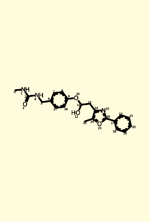 CNC(=O)NCc1ccc(OC(O)Cc2nc(-c3ccccc3)oc2C)cc1